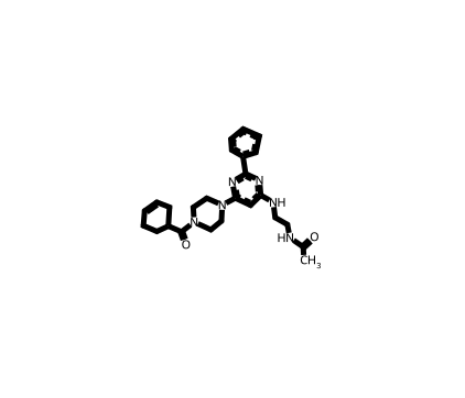 CC(=O)NCCNc1cc(N2CCN(C(=O)C3CC=CCC3)CC2)nc(-c2ccccc2)n1